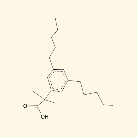 CCCCCc1cc(CCCCC)cc(C(C)(C)C(=O)O)c1